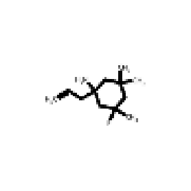 C=CCC1(N)CC(C)(C)CC(C)(F)C1